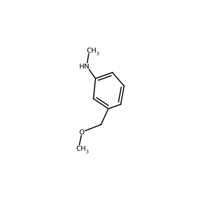 CNc1cccc(COC)c1